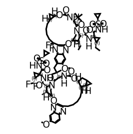 CC[C@@H]1[C@@H]2CN(C(=O)[C@H](C(C)(C)C)NC(=O)O[C@@H]3C[C@H]3CCCCC(F)(F)c3nc4cc(CC(C)(C)[C@@H]5NC(=O)O[C@@H]6CC7C[C@@H]7[C@H]6CCCCCc6nc7ccc(OC)cc7nc6O[C@H]6CN(C5=O)[C@H](C(=O)N[C@]5(C(=O)NS(=O)(=O)C7CC7)C[C@H]5C(F)F)[C@@H]6C)c(OC)cc4nc3O2)[C@@H]1C(=O)N[C@]1(C(=O)NS(=O)(=O)C2CC2)C[C@H]1CC